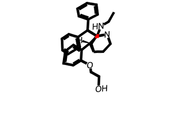 CCNC1(C(c2ccccc2)c2ccccc2)[C@@H](c2ccccc2OCCO)C2CCN1CC2